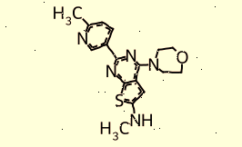 CNc1cc2c(N3CCOCC3)nc(-c3ccc(C)nc3)nc2s1